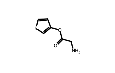 NCC(=O)Oc1ccsc1